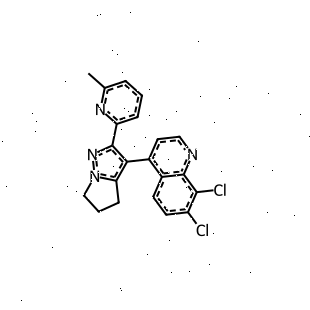 Cc1cccc(-c2nn3c(c2-c2ccnc4c(Cl)c(Cl)ccc24)CCC3)n1